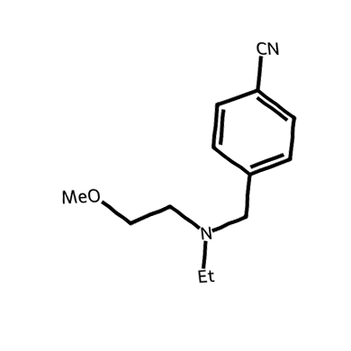 CCN(CCOC)Cc1ccc(C#N)cc1